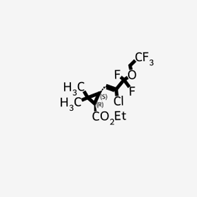 CCOC(=O)[C@@H]1[C@@H](C=C(Cl)C(F)(F)OCC(F)(F)F)C1(C)C